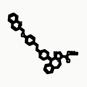 COC(=O)C1CN=C2C(=C3CCN(CCc4ccc(OCc5ccc6ccccc6n5)cc4)CC3)c3ccccc3CCN21